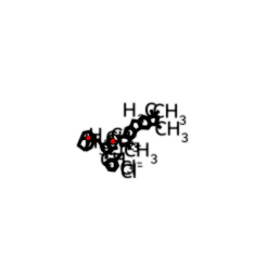 CC1=CC(C)(C)c2cc3c(cc21)-c1cc2c(cc1C3)C(C)(C)[C]([Zr+2](=[CH]c1ccccc1)[C]1=C(C)C(CC34CC5CC(CC(C5)C3)C4)=CC1C)=C2C.[Cl-].[Cl-]